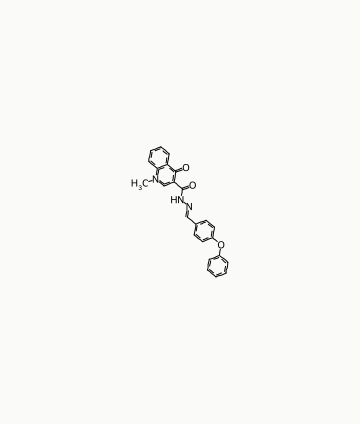 Cn1cc(C(=O)NN=Cc2ccc(Oc3ccccc3)cc2)c(=O)c2ccccc21